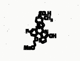 COCCOc1cc(F)cc(F)c1-c1c(-c2cc3n(n2)CCN(C(=O)O)[C@@H]3C)nc(O)c2ccsc12